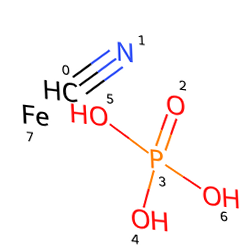 C#N.O=P(O)(O)O.[Fe]